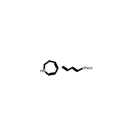 C1=CCCNC=C1.C=CC=CCCCCC